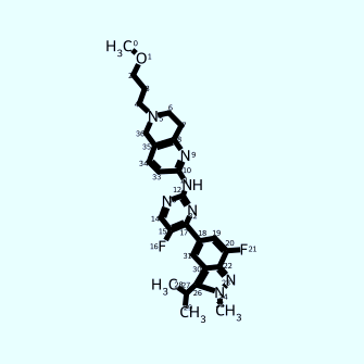 COCCCN1CCc2nc(Nc3ncc(F)c(-c4cc(F)c5nn(C)c(C(C)C)c5c4)n3)ccc2C1